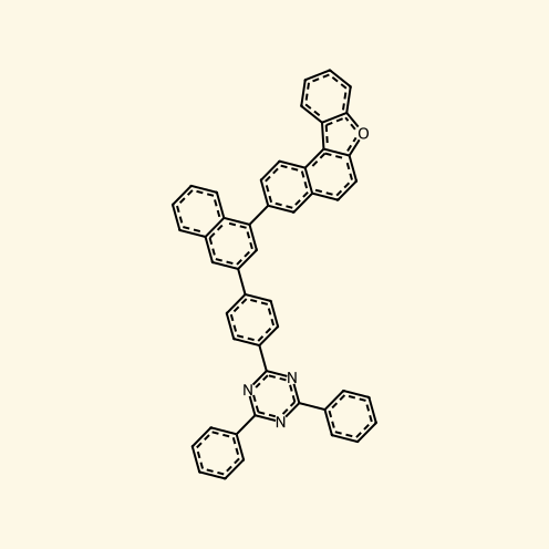 c1ccc(-c2nc(-c3ccccc3)nc(-c3ccc(-c4cc(-c5ccc6c(ccc7oc8ccccc8c76)c5)c5ccccc5c4)cc3)n2)cc1